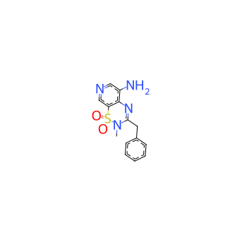 CN1C(Cc2ccccc2)=Nc2c(N)cncc2S1(=O)=O